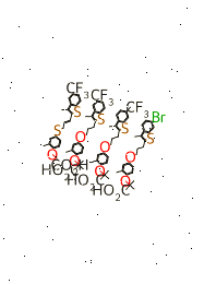 Cc1cc(OCCCc2sc3cc(Br)ccc3c2C)ccc1OC(C)(C)C(=O)O.Cc1cc(OCCCc2sc3cc(C(F)(F)F)ccc3c2C)ccc1OC(C)(C)C(=O)O.Cc1cc(OCCCc2sc3ccc(C(F)(F)F)cc3c2C)ccc1OC(C)(C)C(=O)O.Cc1cc(SCC=Cc2sc3ccc(C(F)(F)F)cc3c2C)ccc1OCC(=O)O